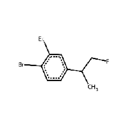 CCc1cc([C](C)CF)ccc1Br